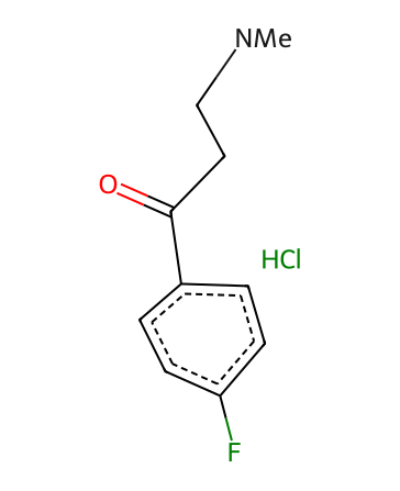 CNCCC(=O)c1ccc(F)cc1.Cl